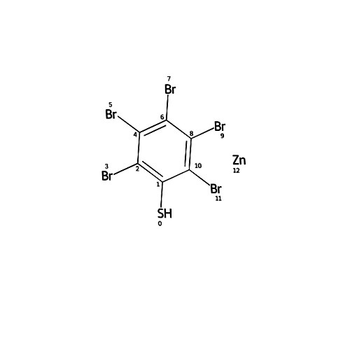 Sc1c(Br)c(Br)c(Br)c(Br)c1Br.[Zn]